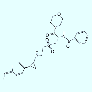 C=C(/C=C\C(C)=C/C)[C@@H]1CC1NCCS(=O)(=O)C[C@@H](NC(=O)c1ccccc1)C(=O)N1CCOCC1